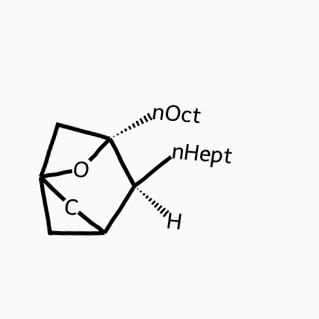 CCCCCCCC[C@]12CC3(CC(C3)[C@@H]1CCCCCCC)O2